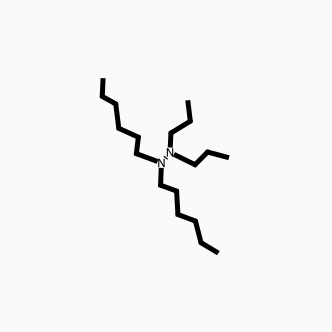 CCCCCCN(CCCCCC)N(CCC)CCC